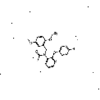 COc1ccc(OC[18F])c(CN(C(C)=O)c2cccnc2Oc2ccc(I)cc2)c1